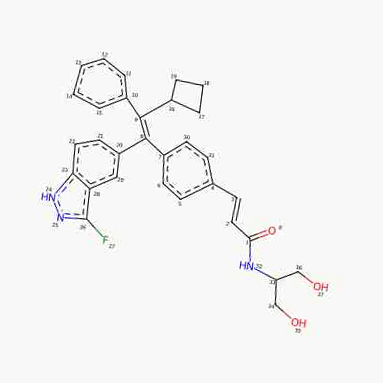 O=C(C=Cc1ccc(C(=C(c2ccccc2)C2CCC2)c2ccc3[nH]nc(F)c3c2)cc1)NC(CO)CO